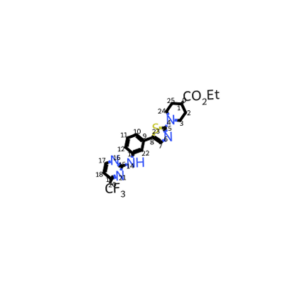 CCOC(=O)C1CCN(c2ncc(-c3cccc(Nc4nccc(C(F)(F)F)n4)c3)s2)CC1